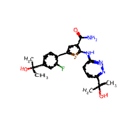 CC(C)(O)c1ccc(-c2cc(C(N)=O)c(Nc3ccc(C(C)(C)O)nn3)s2)c(F)c1